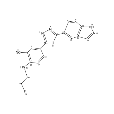 N#Cc1cc(-c2nnc(-c3ccc4[nH]ncc4c3)o2)ccc1NCCF